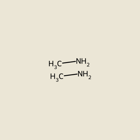 CN.CN